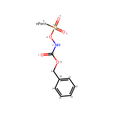 CCCCCS(=O)(=O)ONC(=O)OCc1ccccc1